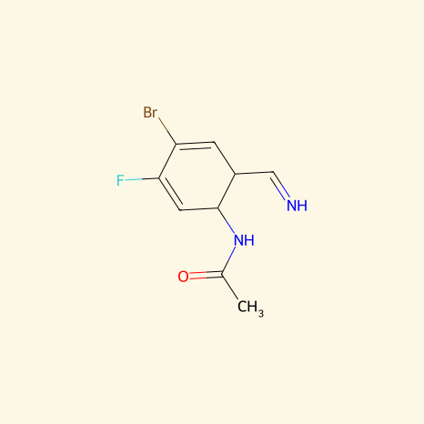 CC(=O)NC1C=C(F)C(Br)=CC1C=N